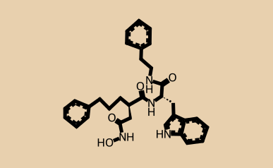 O=C(C[C@@H](CCCc1ccccc1)C(=O)N[C@@H](Cc1c[nH]c2ccccc12)C(=O)NCCc1ccccc1)NO